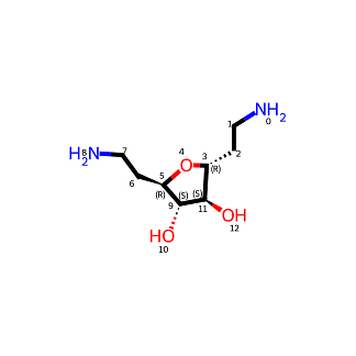 NCC[C@H]1O[C@H](CCN)[C@@H](O)[C@@H]1O